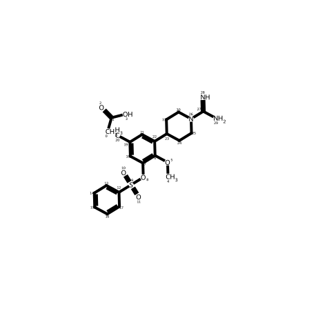 CC(=O)O.COc1c(OS(=O)(=O)c2ccccc2)cc(C)cc1C1CCN(C(=N)N)CC1